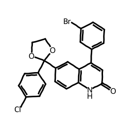 O=c1cc(-c2cccc(Br)c2)c2cc(C3(c4ccc(Cl)cc4)OCCO3)ccc2[nH]1